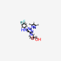 Cc1cc(C)n(-c2nc(NC3CCC(F)(F)CC3)cc(N3CCO[C@@H](CO)C3)n2)n1